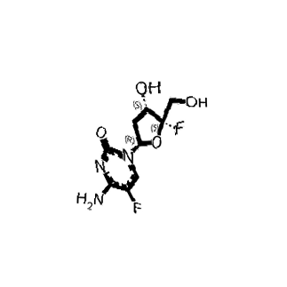 Nc1nc(=O)n([C@H]2C[C@H](O)[C@@](F)(CO)O2)cc1F